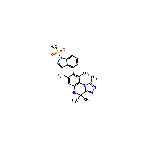 Cc1c(-c2cccc3c2ccn3S(C)(=O)=O)c(C(F)(F)F)cc2c1-n1c(C)nnc1C(C)(C)N2